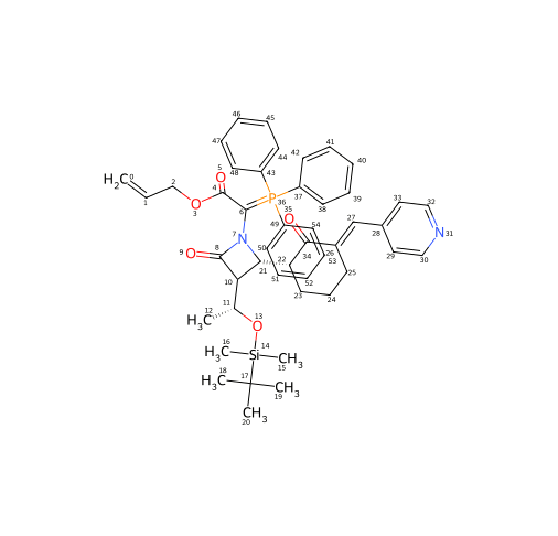 C=CCOC(=O)C(N1C(=O)C([C@@H](C)O[Si](C)(C)C(C)(C)C)C1[C@H]1CCCC(=Cc2ccncc2)C1=O)=P(c1ccccc1)(c1ccccc1)c1ccccc1